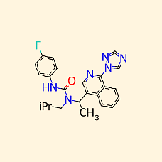 CC(C)CN(C(=O)Nc1ccc(F)cc1)C(C)c1cnc(-n2cncn2)c2ccccc12